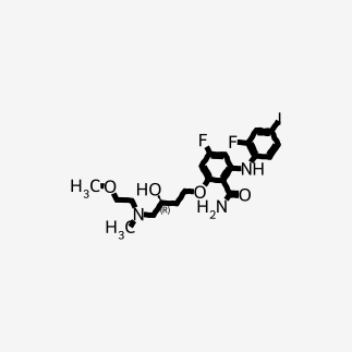 COCCN(C)C[C@H](O)CCOc1cc(F)cc(Nc2ccc(I)cc2F)c1C(N)=O